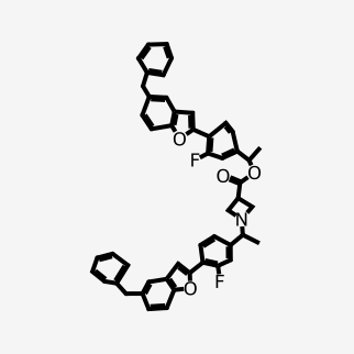 CC(OC(=O)C1CN(C(C)c2ccc(-c3cc4cc(Cc5ccccc5)ccc4o3)c(F)c2)C1)c1ccc(-c2cc3cc(Cc4ccccc4)ccc3o2)c(F)c1